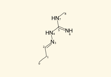 CC/C=N/NC(=N)NC